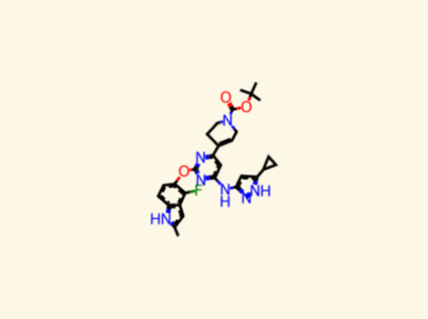 Cc1cc2c(F)c(Oc3nc(Nc4cc(C5CC5)[nH]n4)cc(C4=CCN(C(=O)OC(C)(C)C)CC4)n3)ccc2[nH]1